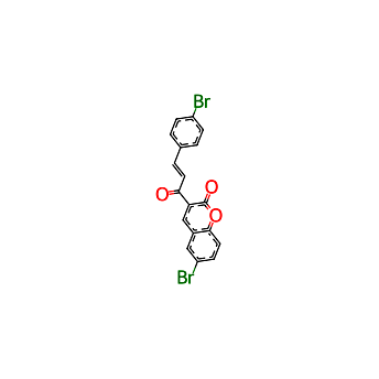 O=C(C=Cc1ccc(Br)cc1)c1cc2cc(Br)ccc2oc1=O